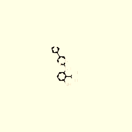 CC(C)c1c(N)cccc1Nc1ncc(-c2ccsc2)cn1